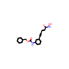 O=C(C=CC#Cc1cccc(NC(=O)OCc2ccccc2)c1)NO